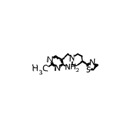 Cc1ncc(CN2CCC(c3nccs3)CC2)c(N)n1